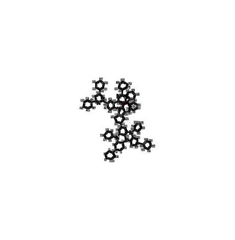 c1ccc(-c2ccc3c(c2)N(c2ccccc2)c2cc(-c4ccc5c(c4)c4ccc(-c6ccccc6)cc4n5-c4ccc(-c5nc(-c6ccccc6)cc(-c6ccccc6)n5)cc4-c4nc(-c5ccccc5)nc(-c5ccccc5)n4)cc4c2B3c2ccc(-c3ccccc3)cc2N4c2ccccc2)cc1